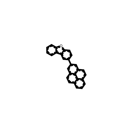 c1cc2ccc3cc(-c4ccc5oc6ccccc6c5c4)cc4ccc(c1)c2c34